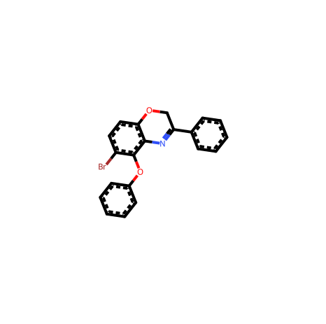 Brc1ccc2c(c1Oc1ccccc1)N=C(c1ccccc1)CO2